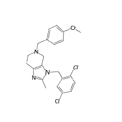 COc1ccc(CN2CCc3nc(C)n(Cc4cc(Cl)ccc4Cl)c3C2)cc1